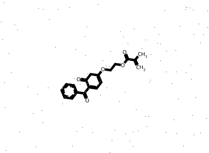 C=C(C)C(=O)OCCOC1=CC=C(C(=O)c2ccccc2)C(=O)C1